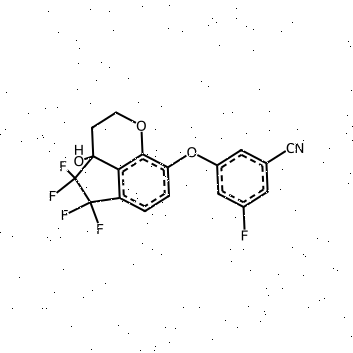 N#Cc1cc(F)cc(Oc2ccc3c4c2OCCC4(O)C(F)(F)C3(F)F)c1